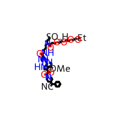 CCOCCOCCOCCOCCC(=O)N(CCCNC(=O)c1ncn(-c2ncc(OC)c3c(C(=O)C(=O)N4CCC(=C(C#N)c5ccccc5)CC4)c[nH]c23)n1)CCS(=O)(=O)O